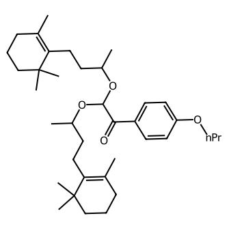 CCCOc1ccc(C(=O)C(OC(C)CCC2=C(C)CCCC2(C)C)OC(C)CCC2=C(C)CCCC2(C)C)cc1